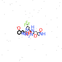 COc1cccc2[nH]c(C(=O)N3C[C@H](C(F)(F)F)CC3C(=O)N[C@@H](C[C@@H]3CCNC3=O)C(N)=O)cc12